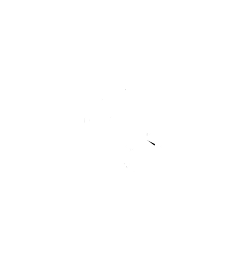 CC1C[C@@H](O)[C@H](N)CC1(C)C